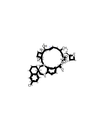 CC1C/C=C/[C@H](O)[C@@H]2CC[C@H]2CN2C[C@@]3(CCCc4cc(Cl)ccc43)COc3ccc(cc32)C(=O)NS(=O)(=O)[C@H]1C[C@@H]1CCO1